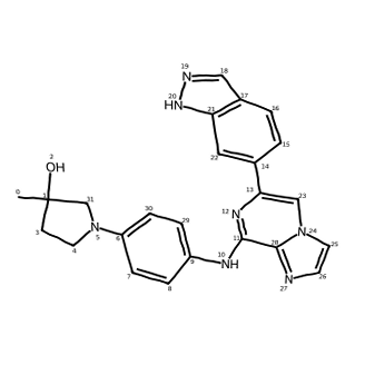 CC1(O)CCN(c2ccc(Nc3nc(-c4ccc5cn[nH]c5c4)cn4ccnc34)cc2)C1